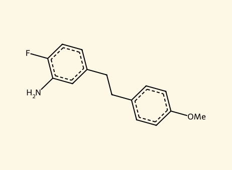 COc1ccc(CCc2ccc(F)c(N)c2)cc1